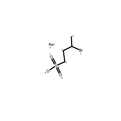 CC(Br)CCS(=O)(=O)[O-].[Na+]